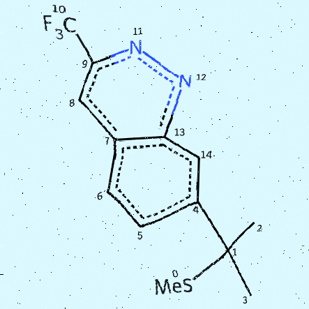 CSC(C)(C)c1ccc2cc(C(F)(F)F)nnc2c1